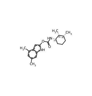 Cc1cc(C)c2cc(OC(=O)N[C@H]3CCC[C@@H](C)[C@H]3C)[nH]c2c1